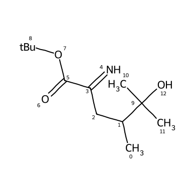 CC(CC(=N)C(=O)OC(C)(C)C)C(C)(C)O